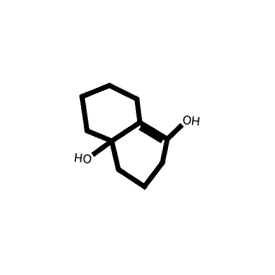 OC1=C2CCCCC2(O)CCC1